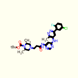 Cc1nnc(-c2cc(Cl)ccc2F)cc1Nc1cc(NC(=O)CCN2C[C@@H](C)N(C(=O)OC(C)(C)C)[C@@H](C)C2)ncn1